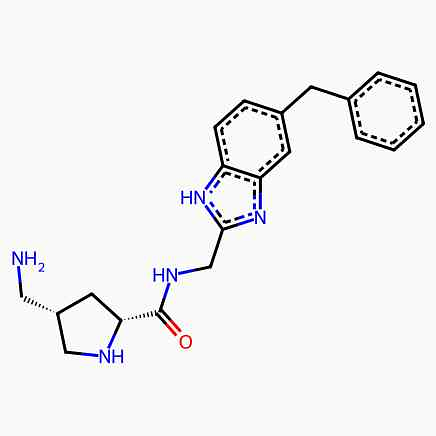 NC[C@H]1CN[C@@H](C(=O)NCc2nc3cc(Cc4ccccc4)ccc3[nH]2)C1